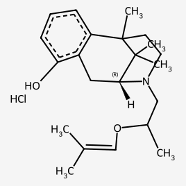 CC(C)=COC(C)CN1CCC2(C)c3cccc(O)c3C[C@@H]1C2(C)C.Cl